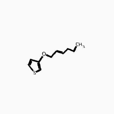 CCCC=CCOc1c[c]sc1